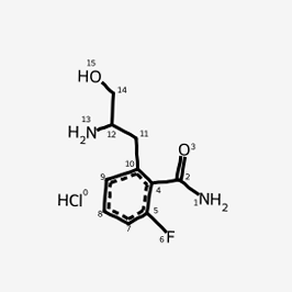 Cl.NC(=O)c1c(F)cccc1CC(N)CO